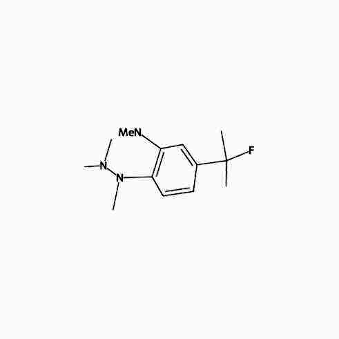 CNc1cc(C(C)(C)F)ccc1N(C)N(C)C